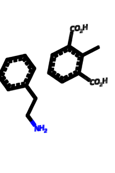 Cc1c(C(=O)O)cccc1C(=O)O.NCCc1ccccc1